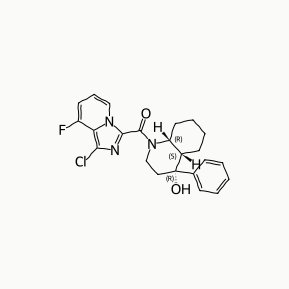 O=C(c1nc(Cl)c2c(F)cccn12)N1CC[C@](O)(c2ccccc2)[C@H]2CCCC[C@H]21